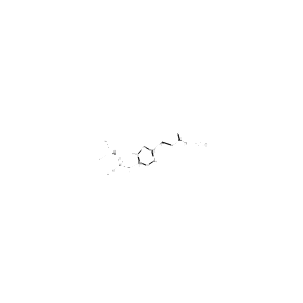 COC(=O)C=Cc1ccc(CC(O[SiH](C)C)C(C)(C)C)cc1